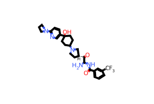 NC(NC(=O)c1cccc(C(F)(F)F)c1)C(=O)[C@@H]1CCN(C2CCC(O)(c3ccc(N4CCC4)nc3)CC2)C1